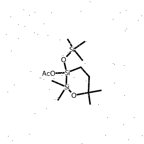 CC(=O)O[Si]1(O[Si](C)(C)C)CCC(C)(C)O[Si]1(C)C